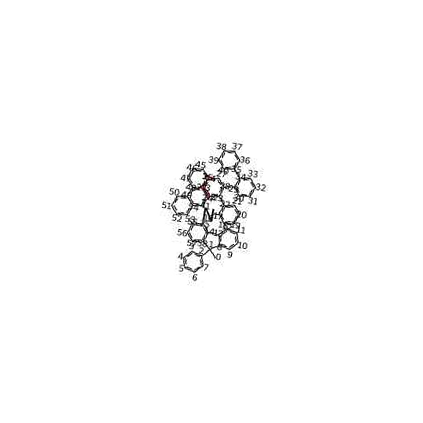 CC1(c2ccccc2)c2ccccc2-c2c(N(c3ccccc3-c3ccccc3-c3ccccc3-c3ccccc3)c3cc4ccccc4c4ccccc34)cccc21